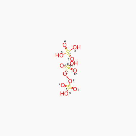 O=S(=O)(O)O.O=S(=O)(O)OOS(=O)(=O)O